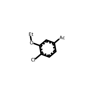 CCOc1cc(C(C)=O)ccc1Cl